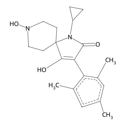 Cc1cc(C)c(C2=C(O)C3(CCN(O)CC3)N(C3CC3)C2=O)c(C)c1